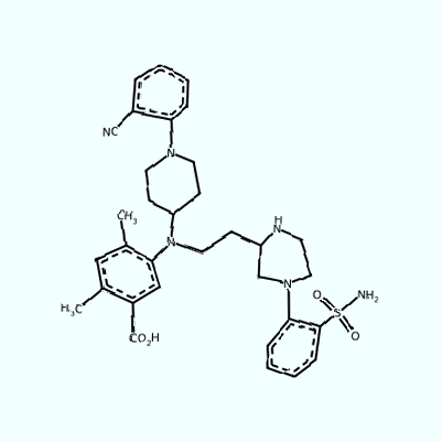 Cc1cc(C)c(N(CCC2CN(c3ccccc3S(N)(=O)=O)CCN2)C2CCN(c3ccccc3C#N)CC2)cc1C(=O)O